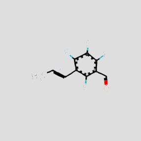 C/C=C/c1c(F)c(F)c(F)c(C=O)c1F